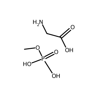 COP(=O)(O)O.NCC(=O)O